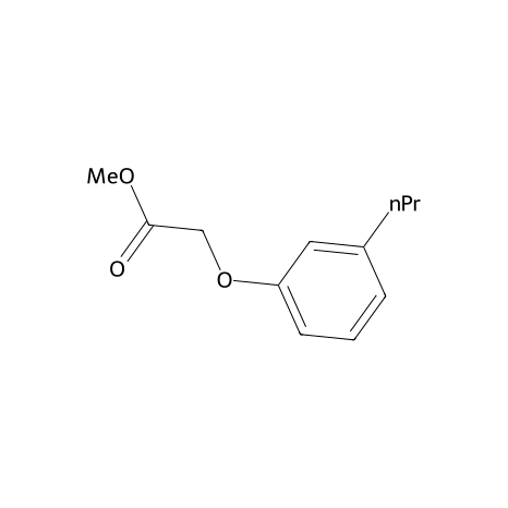 CCCc1cccc(OCC(=O)OC)c1